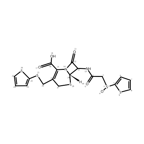 O=C(C[S+]([O-])c1cccs1)NC1C(=O)N2C(C(=O)O)=C(CSc3cccs3)CS[C@@H]12